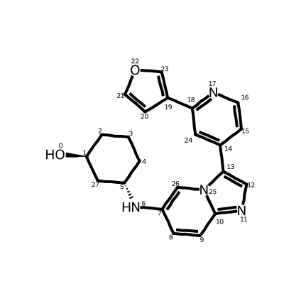 O[C@H]1CCC[C@H](Nc2ccc3ncc(-c4ccnc(-c5ccoc5)c4)n3c2)C1